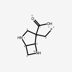 O=C(O)C1(CF)CNC2CNC21